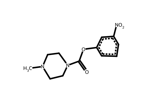 CN1CCN(C(=O)Oc2cccc([N+](=O)[O-])c2)CC1